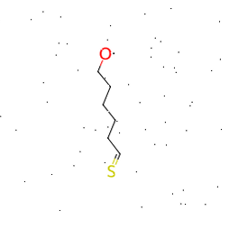 [O]CCCCCC=S